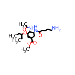 CCOC(=O)C1=C[C@@H](OC(CC)CC)[C@H](NC(C)=O)[C@@H](NC(=O)CCCCN)C1